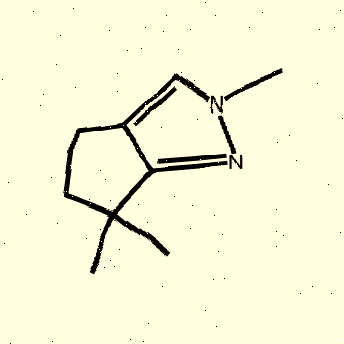 Cn1cc2c(n1)C(C)(C)CC2